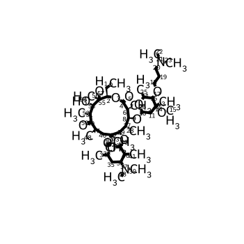 CC[C@H]1OC(=O)[C@H](C)[C@@H](OC2CC(C)(OC)C(OCCCN(C)C)C(C)O2)[C@H](C)[C@@H](OC2OC(C)CC(N(C)C)C2C)[C@](C)(OC)C[C@@H](C)C(=O)[C@H](C)[C@@H](O)[C@]1(C)O